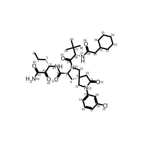 CCC[C@H](NC(=O)[C@@H]1C[C@@]2(CC(=O)N(c3cccc(Cl)c3)C2)CN1C(=O)[C@@H](NC(=O)CC1CCCCC1)C(C)(C)C)C(=O)C(N)=O